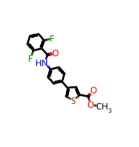 COC(=O)c1cc(-c2ccc(NC(=O)c3c(F)cccc3F)cc2)cs1